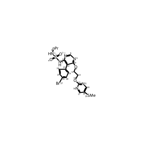 CCCNS(=O)(=O)Nc1ncnc(OCCOc2ncc(SC)cn2)c1-c1ccc(Br)cc1